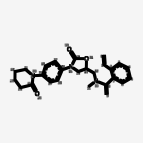 C=Cc1ccccc1C(=C)N(C)CC1CN(c2ccc(N3CCCCC3=O)cc2)C(=O)O1